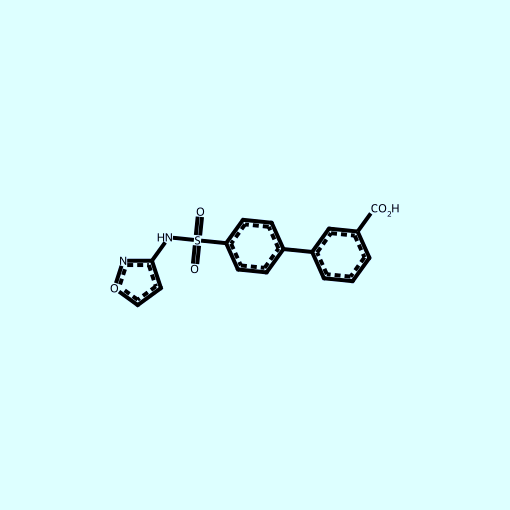 O=C(O)c1cccc(-c2ccc(S(=O)(=O)Nc3ccon3)cc2)c1